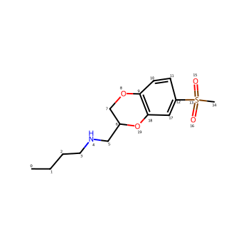 CCCCNCC1COc2ccc(S(C)(=O)=O)cc2O1